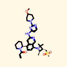 C=CC(=O)N1CCCC[C@H]1c1ccc(N2[C@H](C)[C@@H](CS(C)(=O)=O)C2(C)C)c2cnc(Nc3ccnc(N4CCC(OC)CC4)n3)cc12